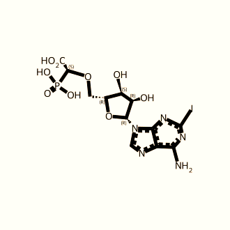 Nc1nc(I)nc2c1ncn2[C@@H]1O[C@H](CO[C@H](C(=O)O)P(=O)(O)O)[C@@H](O)[C@H]1O